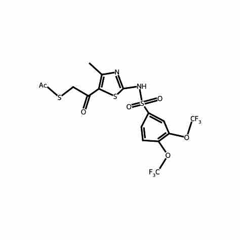 CC(=O)SCC(=O)c1sc(NS(=O)(=O)c2ccc(OC(F)(F)F)c(OC(F)(F)F)c2)nc1C